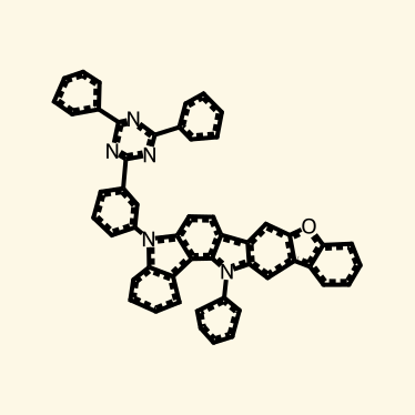 c1ccc(-c2nc(-c3ccccc3)nc(-c3cccc(-n4c5ccccc5c5c4ccc4c6cc7oc8ccccc8c7cc6n(-c6ccccc6)c45)c3)n2)cc1